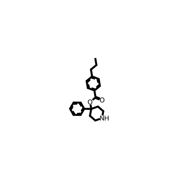 CCCc1ccc(C(=O)OC2(c3ccccc3)CCNCC2)cc1